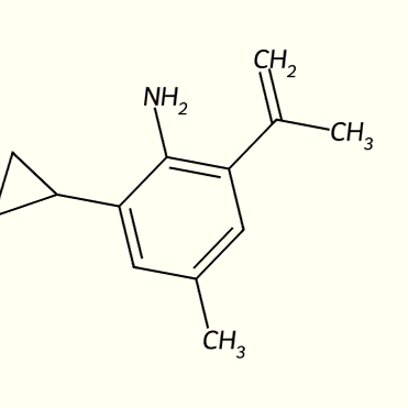 C=C(C)c1cc(C)cc(C2CC2)c1N